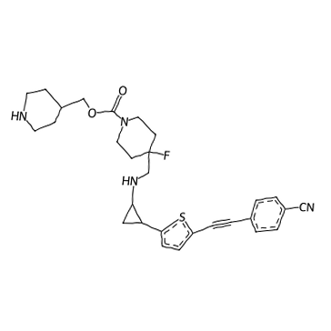 N#Cc1ccc(C#Cc2ccc(C3CC3NCC3(F)CCN(C(=O)OCC4CCNCC4)CC3)s2)cc1